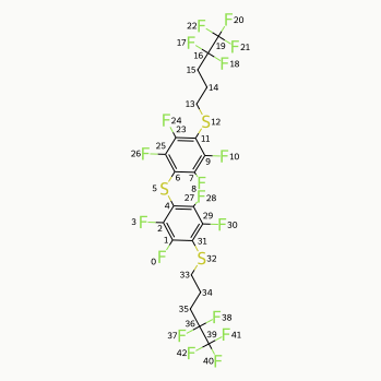 Fc1c(F)c(Sc2c(F)c(F)c(SCCCC(F)(F)C(F)(F)F)c(F)c2F)c(F)c(F)c1SCCCC(F)(F)C(F)(F)F